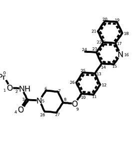 CCCONC(=O)N1CCC(Oc2ccc(-c3cnc4ccccc4c3C)cc2)CC1